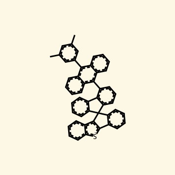 Cc1cc(C)cc(-c2c3ccccc3c(-c3cccc4c3-c3ccccc3C43c4ccccc4-c4sc5ccccc5c43)c3ccccc23)c1